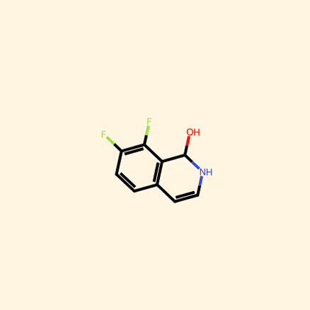 OC1NC=Cc2ccc(F)c(F)c21